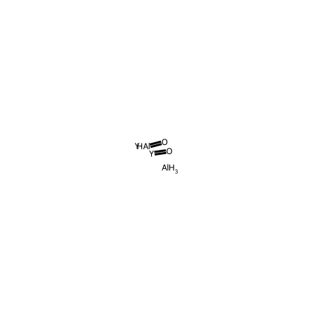 [AlH3].[O]=[AlH].[O]=[Y].[Y]